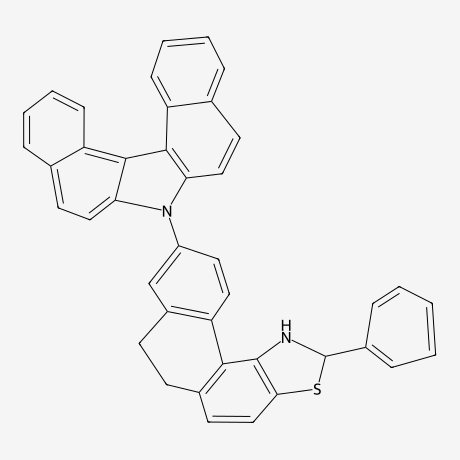 c1ccc(C2Nc3c(ccc4c3-c3ccc(-n5c6ccc7ccccc7c6c6c7ccccc7ccc65)cc3CC4)S2)cc1